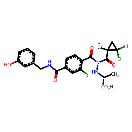 C[C@H](NN(C(=O)c1ccc(C(=O)NCc2cccc(O)c2)cc1Cl)C(=O)C1(C)CC1(Cl)Cl)C(=O)O